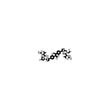 COC(=O)N[C@H](C(=O)N(Cc1ncc(-c2ccc3c4c(c(=O)oc3c2)-c2ccc(-c3cnc([C@@H]5C[C@@H](F)CN5C(=O)[C@@H](NC(=O)OC)C(C)C)[nH]3)cc2OC4)[nH]1)C[C@@H](C)F)C(C)C